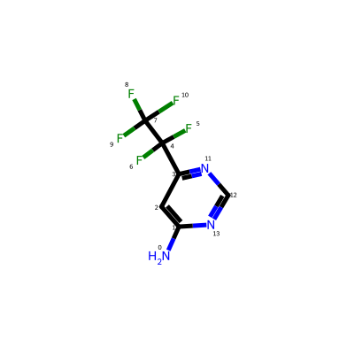 Nc1cc(C(F)(F)C(F)(F)F)ncn1